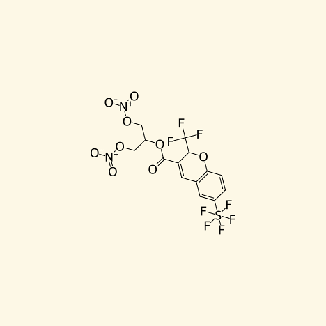 O=C(OC(CO[N+](=O)[O-])CO[N+](=O)[O-])C1=Cc2cc(S(F)(F)(F)(F)F)ccc2OC1C(F)(F)F